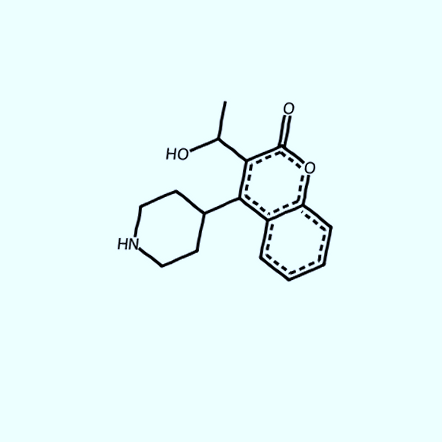 CC(O)c1c(C2CCNCC2)c2ccccc2oc1=O